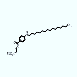 CCOC(=O)CCOC(=O)c1ccc(NCCCCCCCCCCCCCCCC(F)(F)F)cc1